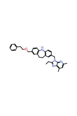 CCc1nc2c(C)cc(C)nc2n1Cc1ccc2c(c1)CCc1cc(COCCc3ccccc3)ccc1N2